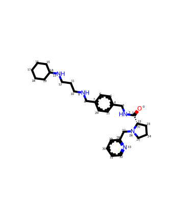 O=C(NCc1ccc(CNCCCNC2CCCCC2)cc1)[C@@H]1CCCN1Cc1ccccn1